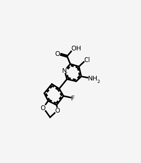 Nc1cc(-c2ccc3c(c2F)OCO3)nc(C(=O)O)c1Cl